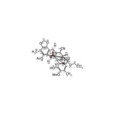 COc1c(C)cc2c(c1O)[C@@H]1N[C@@H](C2)[C@H](C#N)N2C1[C@@H]1SCC(NC(=O)OCC(Cl)(Cl)Cl)C(=O)OC[C@H]2c2c3c(c(C)c(OC(C)=O)c21)OCO3